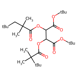 CC(C)(C)CC(C)(C)C(=O)OC(C(=O)OC(C)(C)C)C(OC(=O)C(C)(C)C(C)(C)C)C(=O)OC(C)(C)C